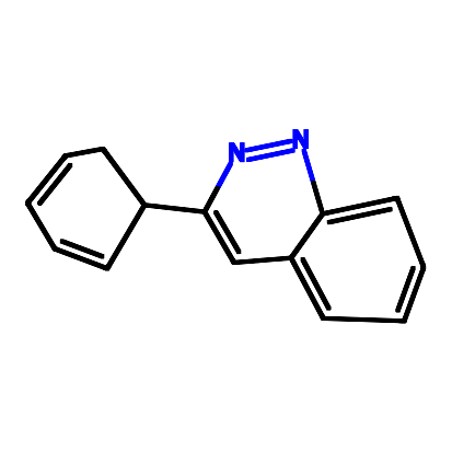 C1=CCC(c2cc3ccccc3nn2)C=C1